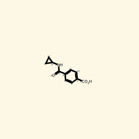 O=C(O)c1ccc(C(=O)NC2CC2)cc1